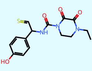 CCN1CCN(C(=O)NC(C=S)c2ccc(O)cc2)C(=O)C1=O